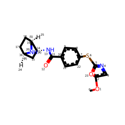 COc1cnc(Sc2ccc(C(=O)N[C@@H]3C[C@H]4CC[C@@H]3N4)cc2)o1